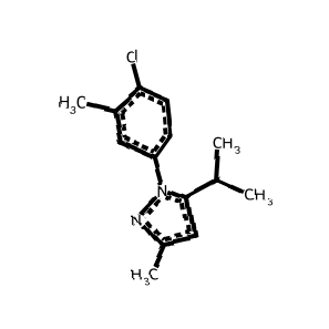 Cc1cc(C(C)C)n(-c2ccc(Cl)c(C)c2)n1